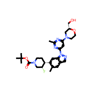 Cc1nc(N2CCO[C@@H](CO)C2)cc(-n2ncc3cc(C)c([C@H]4CCN(C(=O)OC(C)(C)C)C[C@H]4F)cc32)n1